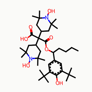 CCCCC(OC(=O)C(C(=O)O)(C1CC(C)(C)N(O)C(C)(C)C1)C1CC(C)(C)N(O)C(C)(C)C1)c1cc(C(C)(C)C)c(O)c(C(C)(C)C)c1